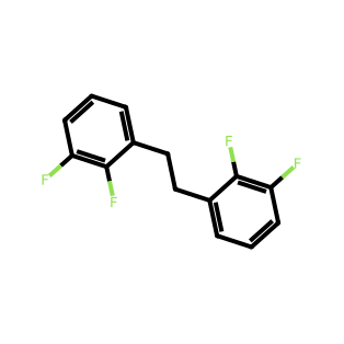 Fc1cccc(CCc2cccc(F)c2F)c1F